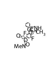 CNC(=O)COC1(c2cc(F)c(CC3[C@H](C)NC[C@@H](c4ccccc4)S3(=O)=O)cc2F)CC2(COC2)C1